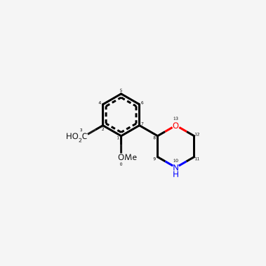 COc1c(C(=O)O)cccc1C1CNCCO1